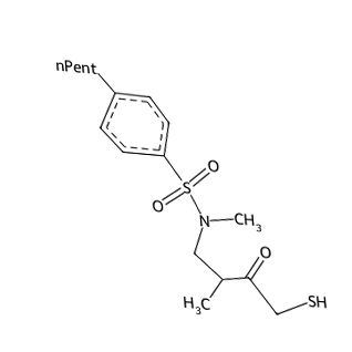 CCCCCc1ccc(S(=O)(=O)N(C)CC(C)C(=O)CS)cc1